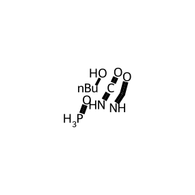 CCCCO.N=C=O.N=C=O.O=[PH3]